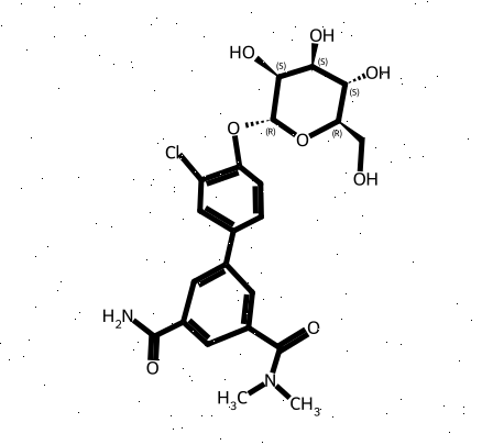 CN(C)C(=O)c1cc(C(N)=O)cc(-c2ccc(O[C@H]3O[C@H](CO)[C@@H](O)[C@H](O)[C@@H]3O)c(Cl)c2)c1